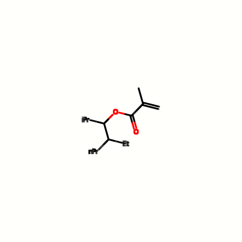 C=C(C)C(=O)OC(C(C)C)C(CC)CCC